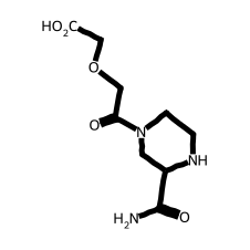 NC(=O)C1CN(C(=O)COCC(=O)O)CCN1